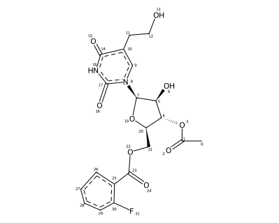 CC(=O)O[C@H]1[C@H](O)[C@H](n2cc(CCO)c(=O)[nH]c2=O)O[C@@H]1COC(=O)c1ccccc1F